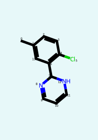 Cc1ccc(Cl)c(C2N=CC=CN2)c1